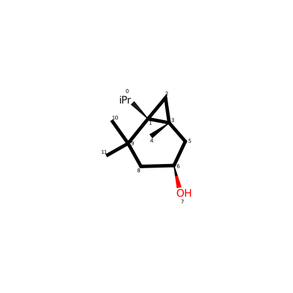 CC(C)[C@@]12C[C@]1(C)C[C@@H](O)CC2(C)C